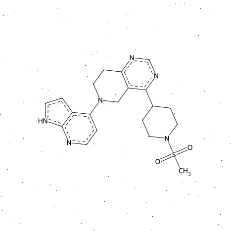 CS(=O)(=O)N1CCC(c2ncnc3c2CN(c2ccnc4[nH]ccc24)CC3)CC1